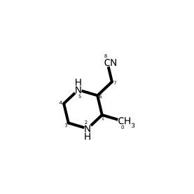 CC1NCCNC1CC#N